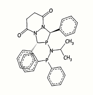 CC(C)N(P(c1ccccc1)c1ccccc1)P1[C@H](c2ccccc2)N2C(=O)CCC(=O)N2[C@H]1c1ccccc1